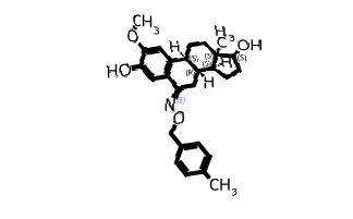 COc1cc2c(cc1O)/C(=N/OCc1ccc(C)cc1)C[C@@H]1[C@@H]2CC[C@]2(C)[C@@H](O)CC[C@@H]12